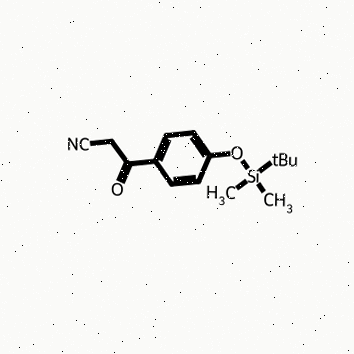 CC(C)(C)[Si](C)(C)Oc1ccc(C(=O)CC#N)cc1